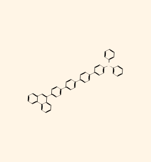 c1ccc(N(c2ccccc2)c2ccc(-c3ccc(-c4ccc(-c5ccc(-c6cc7ccccc7c7ccccc67)cc5)cc4)cc3)cc2)cc1